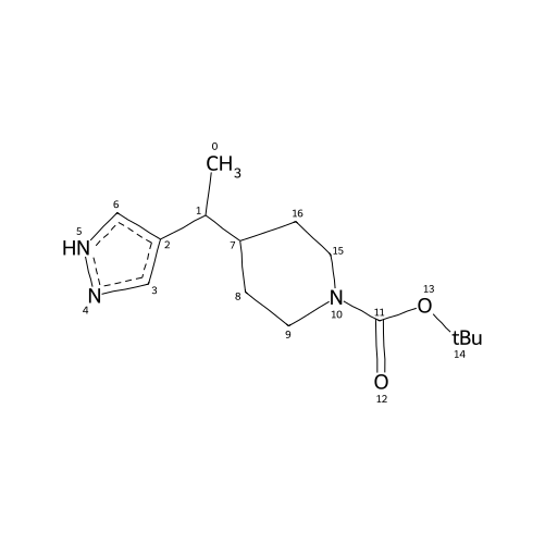 CC(c1cn[nH]c1)C1CCN(C(=O)OC(C)(C)C)CC1